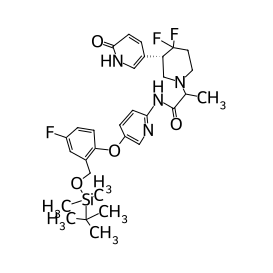 CC(C(=O)Nc1ccc(Oc2ccc(F)cc2CO[Si](C)(C)C(C)(C)C)cn1)N1CCC(F)(F)[C@@H](c2ccc(=O)[nH]c2)C1